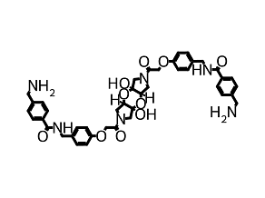 NCc1ccc(C(=O)NCc2ccc(OCC(=O)N3C[C@@H]4O[C@]5(O)CN(C(=O)COc6ccc(CNC(=O)c7ccc(CN)cc7)cc6)C[C@@H]5O[C@]4(O)C3)cc2)cc1